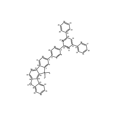 CC1(C)c2cc(-c3ccc(-c4nc(-c5ccccc5)cc(-c5ccccc5)n4)cc3)ccc2-c2ccc3oc4ccccc4c3c21